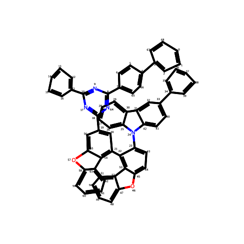 c1ccc(-c2ccc(-c3nc(-c4ccccc4)nc(-c4cc(-c5c(-n6c7ccccc7c7cc(-c8ccccc8)ccc76)ccc6oc7ccccc7c56)c5c(c4)oc4ccccc45)n3)cc2)cc1